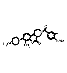 CNc1ccc(C(=O)N2CCc3c(c(=O)oc4c(C)c(N5CCN(C)CC5)ccc34)C2)cc1Cl